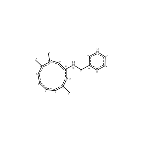 Cc1ccccc(C)c(C)cc(NCc2cccnc2)n1